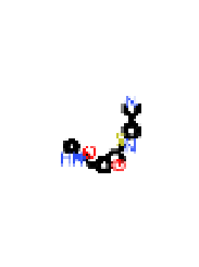 O=C(Cc1ccc2c(c1)CC(c1nc3ccc(-c4ccncc4)cc3s1)CO2)NC1CCCC1